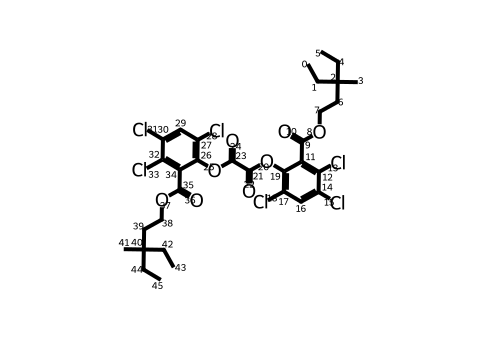 CCC(C)(CC)CCOC(=O)c1c(Cl)c(Cl)cc(Cl)c1OC(=O)C(=O)Oc1c(Cl)cc(Cl)c(Cl)c1C(=O)OCCC(C)(CC)CC